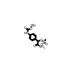 CC(C)(C)OC(=O)Nc1ccc(C(OS(C)(=O)=O)C(N)=O)cc1